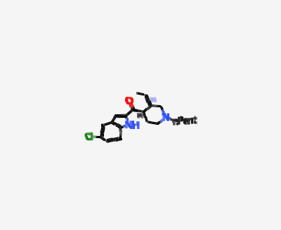 C/C=C1/CN(CCCCC)CC[C@H]1C(=O)c1cc2cc(Cl)ccc2[nH]1